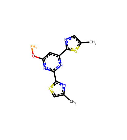 Cc1cnc(-c2cc(OP)nc(-c3nc(C(F)(F)F)cs3)n2)s1